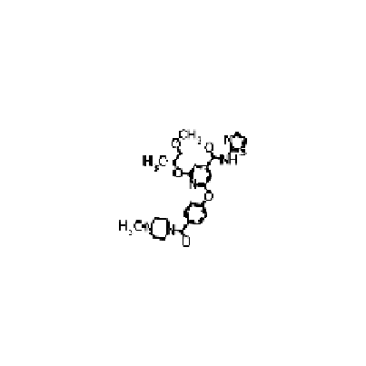 COC[C@@H](C)Oc1cc(C(=O)Nc2nccs2)cc(Oc2ccc(C(=O)N3CCN(C)CC3)cc2)n1